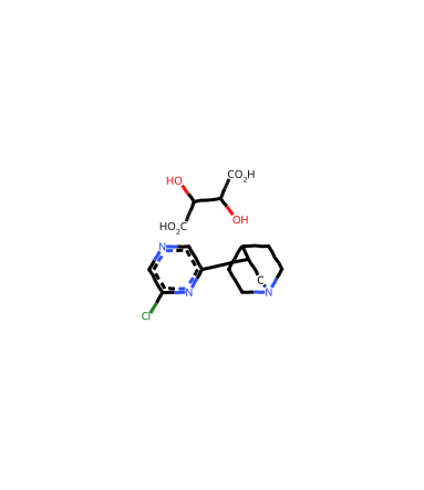 Clc1cncc(C2CN3CCC2CC3)n1.O=C(O)C(O)C(O)C(=O)O